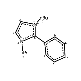 CCCC[n+]1ccn(C(C)C)c1-c1ccccc1